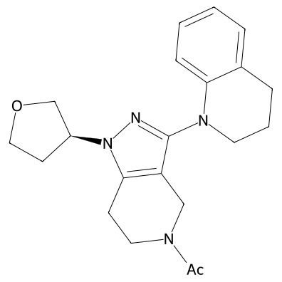 CC(=O)N1CCc2c(c(N3CCCc4ccccc43)nn2[C@H]2CCOC2)C1